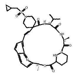 CC(C)[C@@H]1NC(=O)C2(/C=C/c3ccc4ccc(nc4c3)[C@@H](C)OC(=O)C3CCCN(N3)C(=O)[C@H](C)NC1=O)CCN(S(=O)(=O)CC1CC1)CC2